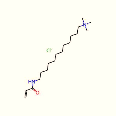 C=CC(=O)NCCCCCCCCCCCC[N+](C)(C)C.[Cl-]